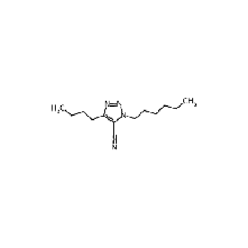 CCCCCCn1nnc(CCCC)c1C#N